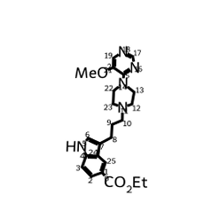 CCOC(=O)c1ccc2[nH]cc(CCCN3CCN(c4ncncc4OC)CC3)c2c1